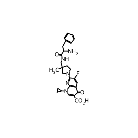 CC1(CNC(=O)C(N)Cc2ccccc2)CCN(c2nc3c(cc2F)c(=O)c(C(=O)O)cn3C2CC2)C1